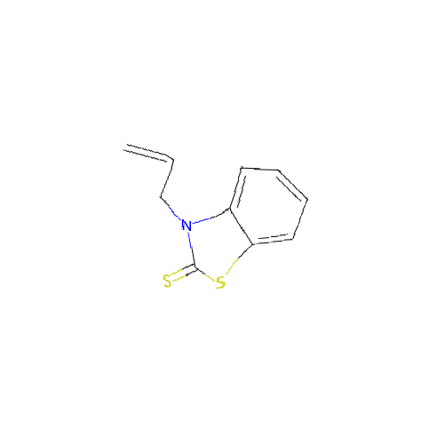 C=CCn1c(=S)sc2ccccc21